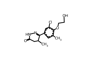 Cc1cc(C2=NNC(=O)CC2C)cc(Cl)c1OCCO